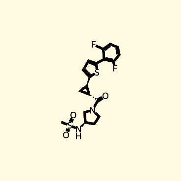 CS(=O)(=O)N[C@@H]1CCN(C(=O)[C@@H]2C[C@H]2c2ccc(-c3c(F)cccc3F)s2)C1